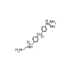 N=C(N)Nc1ccc(C(=O)Oc2ccc(CC(=O)NCCN)cc2)cc1